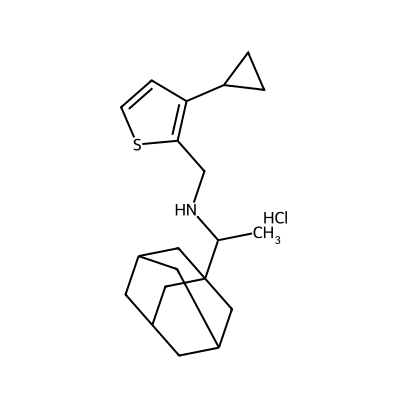 CC(NCc1sccc1C1CC1)C12CC3CC(CC(C3)C1)C2.Cl